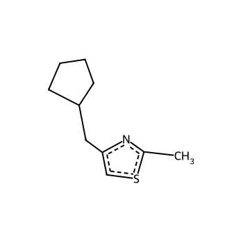 Cc1nc(CC2CCCC2)cs1